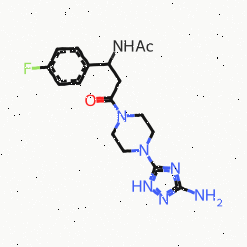 CC(=O)NC(CC(=O)N1CCN(c2nc(N)n[nH]2)CC1)c1ccc(F)cc1